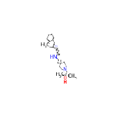 CC/C(=C\c1ccccc1)[C@H]1C[C@@H]1NC1CC2(CCN(CC(C)(C)O)CC2)C1